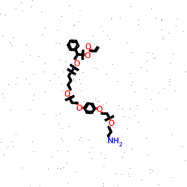 C=CC(=O)OC(C)(C)C(COC(C)(C)C(C)(C)CCCCOC(C)(C)CCOc1ccc(OCCC(C)(C)OCCCN)cc1)c1ccccc1